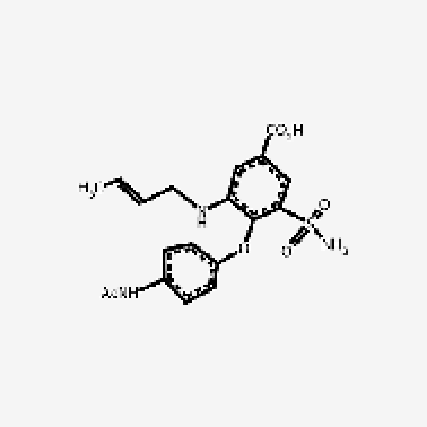 CC=CCNc1cc(C(=O)O)cc(S(N)(=O)=O)c1Oc1ccc(NC(C)=O)cc1